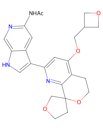 CC(=O)Nc1cc2c(-c3cc(OCC4COC4)c4c(n3)C3(CCOC3)OCC4)c[nH]c2cn1